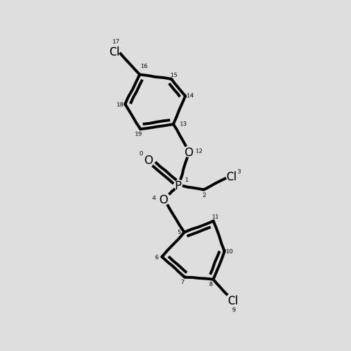 O=P(CCl)(Oc1ccc(Cl)cc1)Oc1ccc(Cl)cc1